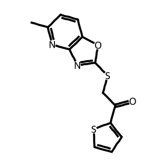 Cc1ccc2oc(SCC(=O)c3cccs3)nc2n1